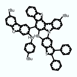 CC(C)(C)c1ccc(Nc2cc3oc4ccc(C(C)(C)C)cc4c3cc2-c2c3c4c(c5cc(C(C)(C)C)ccc5n4-c4cc5c(-c6ccccc6)c(-c6ccccc6)sc5cc4B3)c3sc4ccccc4c23)cc1